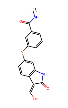 CNC(=O)c1cccc(Sc2ccc3c(c2)NC(=O)/C3=C\O)c1